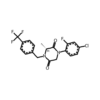 C[C@@H]1C(=O)N(c2ccc(Cl)cc2F)CC(=O)N1Cc1ccc(C(F)(F)F)cc1